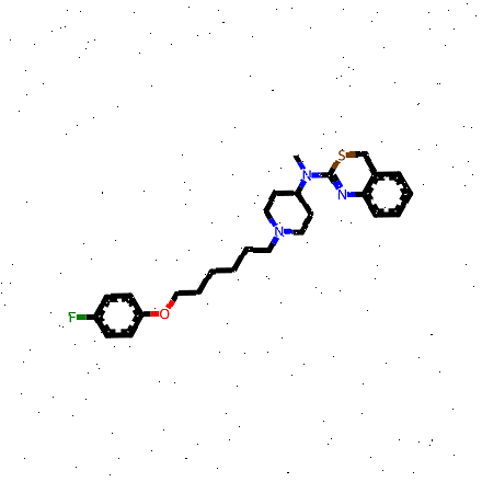 CN(C1=Nc2ccccc2CS1)C1CCN(CCCCCCOc2ccc(F)cc2)CC1